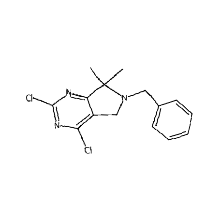 CC1(C)c2nc(Cl)nc(Cl)c2CN1Cc1ccccc1